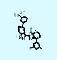 Cc1cc(F)cc(-c2ccnc3[nH]c(-c4n[nH]c5ccc(-c6cncc(NC(C)C)c6)cc45)nc23)c1